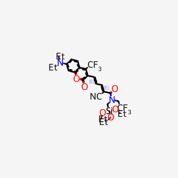 CCO[Si](CN(CC(F)(F)F)C(=O)/C(C#N)=C/C=C/c1c(C(F)(F)F)c2ccc(N(CC)CC)cc2oc1=O)(OCC)OCC